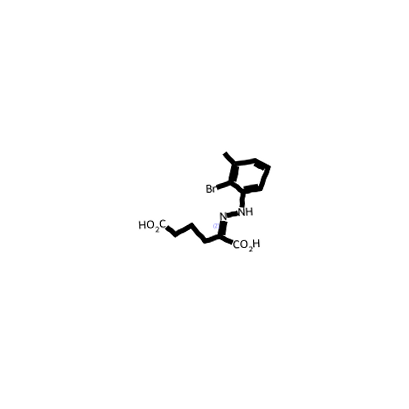 Cc1cccc(N/N=C(/CCCC(=O)O)C(=O)O)c1Br